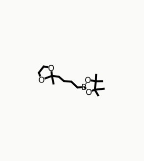 CC1(CCCCB2OC(C)(C)C(C)(C)O2)OCCO1